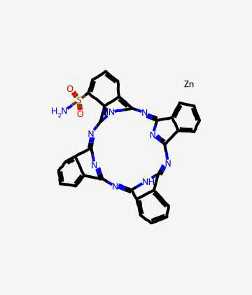 NS(=O)(=O)c1cccc2c3nc4nc(nc5[nH]c(nc6nc(nc([nH]3)c12)-c1ccccc1-6)c1ccccc51)-c1ccccc1-4.[Zn]